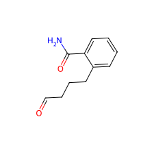 NC(=O)c1ccccc1CCCC=O